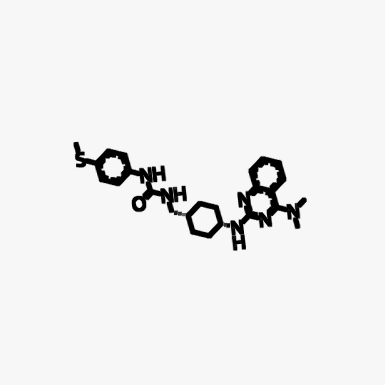 CSc1ccc(NC(=O)NC[C@H]2CC[C@@H](Nc3nc(N(C)C)c4ccccc4n3)CC2)cc1